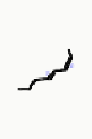 C/C=C\C=C\CCC